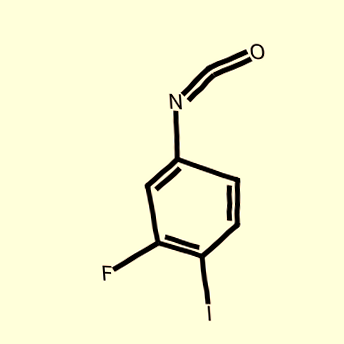 O=C=Nc1ccc(I)c(F)c1